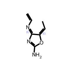 C=C/N=C1/N=C(N)O/C1=C/C